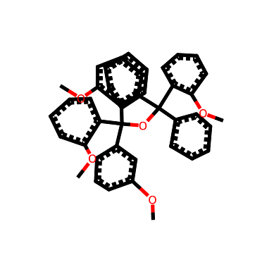 COc1cccc(C(OC(c2ccccc2)(c2cccc(OC)c2)c2ccccc2OC)(c2ccccc2)c2ccccc2OC)c1